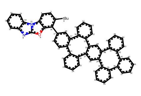 CC(C)(C)c1ccc2c(oc3nc4ccccc4n32)c1-c1ccc2c3ccccc3c3cc4c5ccccc5c5ccccc5c5ccccc5c4cc3c3ccccc3c2c1